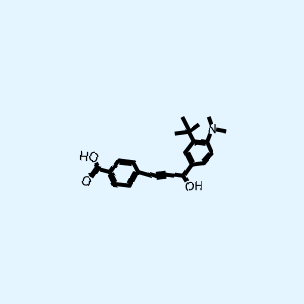 CN(C)c1ccc(C(O)C#Cc2ccc(C(=O)O)cc2)cc1C(C)(C)C